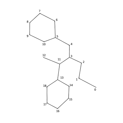 CCCC(CC1CCCCC1)C(C)C1CCCCC1